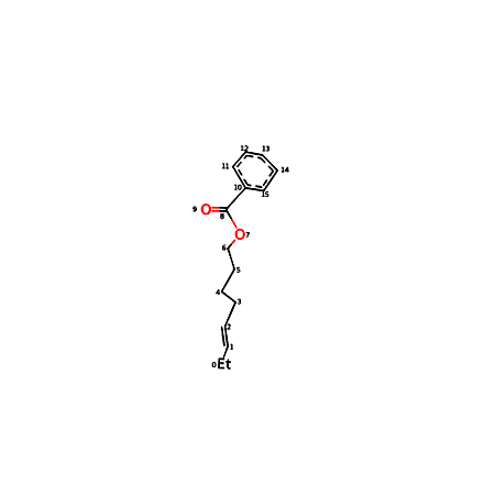 CCC=CCCCCOC(=O)c1ccccc1